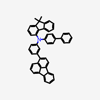 CC1(C)c2ccccc2-c2c(N(c3ccc(-c4ccccc4)cc3)c3cccc(-c4ccc5c6c(cccc46)-c4ccccc4-5)c3)cccc21